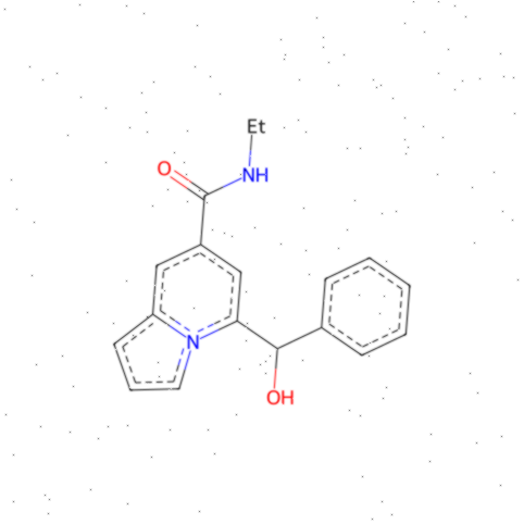 CCNC(=O)c1cc(C(O)c2ccccc2)n2cccc2c1